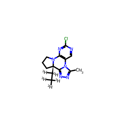 [2H]C([2H])([2H])C([2H])([2H])[C@@]12CCCN1c1nc(Cl)ncc1-n1c(C)nnc12